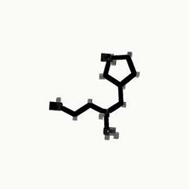 CN(CCO)CC1CCNC1